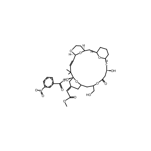 COC(=O)/C=C1\CC2CC(CO)OC(=O)C[C@H](O)C[C@@H]3CCC[C@H](C[C@@H]4CCO[C@H](/C=C/C(C)(C)[C@](O)(O2)[C@H]1OC(=O)c1cccc([N+](=O)[O-])c1)O4)O3